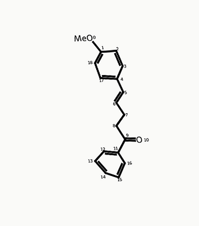 COc1ccc(C=CCCC(=O)c2ccccc2)cc1